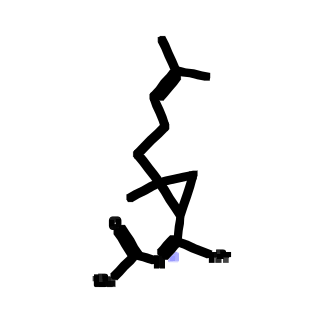 CCC/C(=N/C(=O)C(C)(C)C)C1CC1(C)CCC=C(C)C